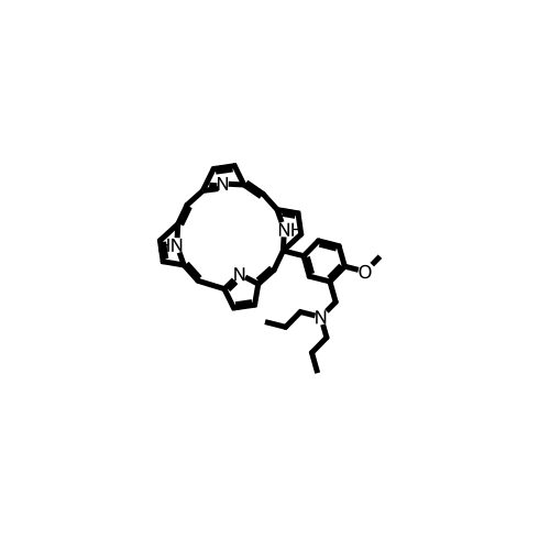 CCCN(CCC)Cc1cc(C23C=C4C=CC(=N4)C=c4ccc([nH]4)=CC4=NC(=CC(=CC2)N3)C=C4)ccc1OC